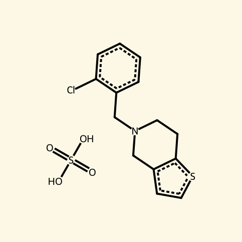 Clc1ccccc1CN1CCc2sccc2C1.O=S(=O)(O)O